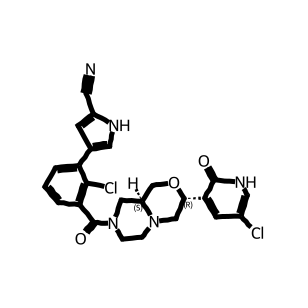 N#Cc1cc(-c2cccc(C(=O)N3CCN4C[C@@H](c5cc(Cl)c[nH]c5=O)OC[C@@H]4C3)c2Cl)c[nH]1